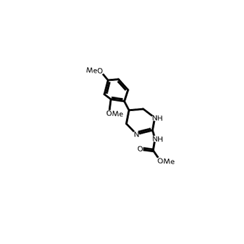 COC(=O)NC1=NCC(c2ccc(OC)cc2OC)CN1